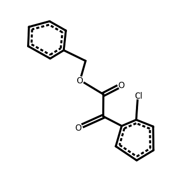 O=C(OCc1ccccc1)C(=O)c1ccccc1Cl